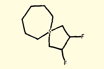 FC1CS2(CCCCCC2)CC1F